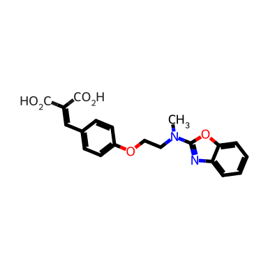 CN(CCOc1ccc(C=C(C(=O)O)C(=O)O)cc1)c1nc2ccccc2o1